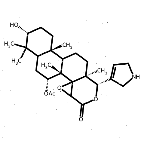 CC(=O)O[C@@H]1CC2C(C)(C)[C@H](O)CC[C@]2(C)C2CC[C@@]3(C)[C@H](C4=CCNC4)OC(=O)C4OC43[C@@]21C